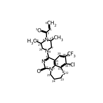 C=CC(=O)N1C(C)CN(c2nc(=O)n3c4c(c(Cl)c(C(F)(F)F)cc24)SCCC3)CC1C